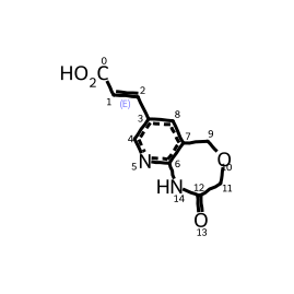 O=C(O)/C=C/c1cnc2c(c1)COCC(=O)N2